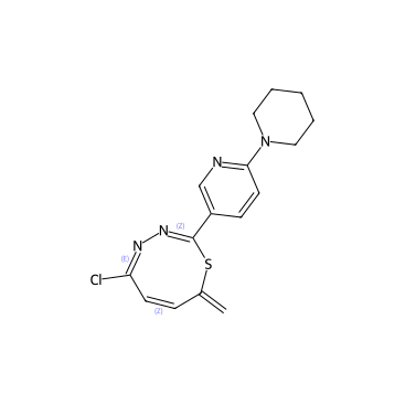 C=C1\C=C/C(Cl)=N\N=C(\c2ccc(N3CCCCC3)nc2)S1